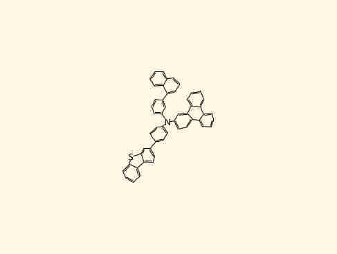 c1cc(-c2cccc3ccccc23)cc(N(c2ccc(-c3ccc4c(c3)sc3ccccc34)cc2)c2ccc3c4ccccc4c4ccccc4c3c2)c1